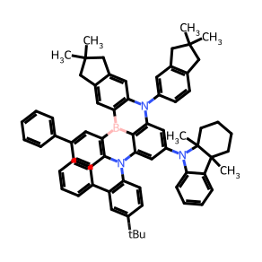 CC1(C)Cc2ccc(N3c4cc5c(cc4B4c6cc(-c7ccccc7)ccc6N(c6ccc(C(C)(C)C)cc6-c6ccccc6)c6cc(N7c8ccccc8C8(C)CCCCC78C)cc3c64)CC(C)(C)C5)cc2C1